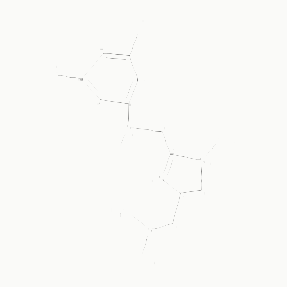 CN(C)CC1CN(C)C(CN(C(=O)O)c2cc(Cl)cc(Cl)c2)=N1